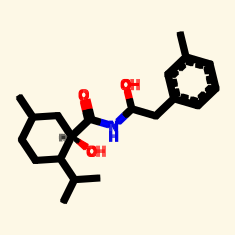 Cc1cccc(CC(O)NC(=O)[C@@]2(O)CC(C)CCC2C(C)C)c1